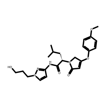 COc1ccc(OC2=CC(=O)N([C@@H](CC(C)C)C(=O)Nc3ccn(CCCO)n3)C2)cc1